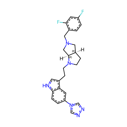 Fc1ccc(CN2C[C@H]3CCN(CCc4c[nH]c5ccc(-n6cnnc6)cc45)[C@H]3C2)c(F)c1